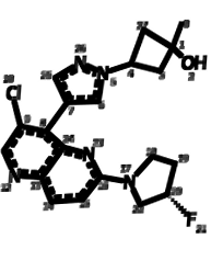 CC1(O)CC(n2cc(-c3c(Cl)cnc4ccc(N5CC[C@H](F)C5)nc34)cn2)C1